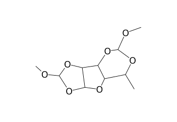 COC1OC2OC3C(C)OC(OC)OC3C2O1